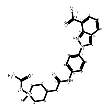 C[N+]1(OC(=O)C(F)(F)F)CCC(CC(=O)Nc2ccc(-n3cc4cccc(C(N)=O)c4n3)cc2)CC1